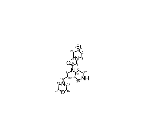 CCC1CCN(CC(=O)N(CCCN2CCOCC2)C2CCNCC2)CC1